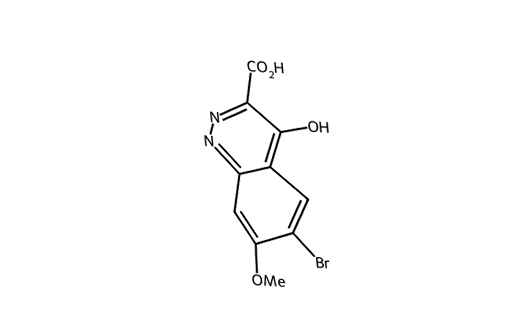 COc1cc2nnc(C(=O)O)c(O)c2cc1Br